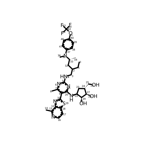 CCC(CNc1nc(C)c(-c2nc3c(C)nccc3s2)c(NC2C[C@H](CO)[C@@H](O)[C@H]2O)n1)C[C@@H](C)N(C)c1ccc(OC(F)(F)F)cc1